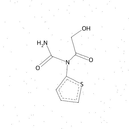 NC(=O)N(C(=O)CO)c1cccs1